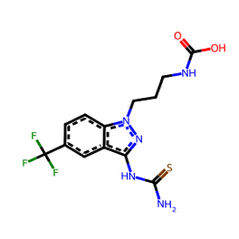 NC(=S)Nc1nn(CCCNC(=O)O)c2ccc(C(F)(F)F)cc12